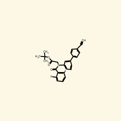 C#Cc1ccc(-c2cccc(N(CC(=O)OC(C)(C)C)C(=O)c3c(F)cccc3F)c2)cc1